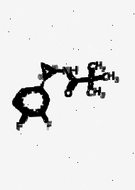 CC(C)(C)C(=O)N[C@@H]1C[C@H]1c1ccc(F)c(F)c1